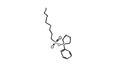 CCCCCCCCS(=O)(=O)OS1(c2ccccc2)CCCC1